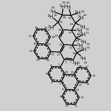 [2H]C1=C(c2cccc3c4ccccc4c4ccccc4c23)C(c2cccc3ccccc23)=C2C=C3C([2H])([2H])C([2H])([2H])C([2H])([2H])C([2H])([2H])C3([2H])C([2H])([2H])C2([2H])C1([2H])[2H]